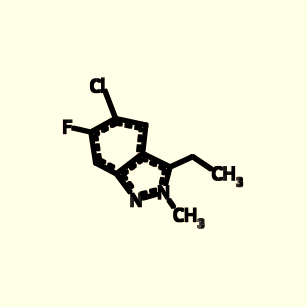 CCc1c2cc(Cl)c(F)cc2nn1C